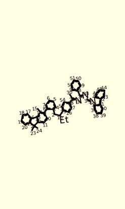 CCC(Cc1ccccc1-c1ccc2c(c1C)-c1ccccc1C2(C)C)c1ccc(/C(C)=N/C(=N\Cn2c3ccccc3c3ccccc32)c2ccccc2)cc1